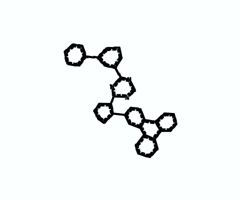 c1ccc(-c2cccc(-c3ncnc(-c4ccccc4-c4ccc5c6ccccc6c6ccccc6c5c4)n3)c2)cc1